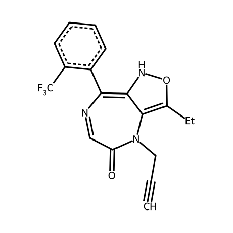 C#CCN1C(=O)C=NC(c2ccccc2C(F)(F)F)=C2NOC(CC)=C21